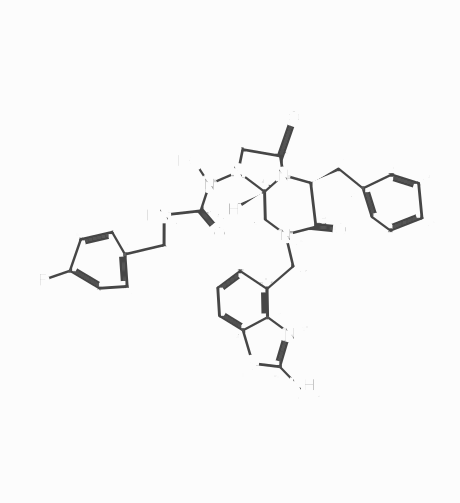 CN(C(=O)NCc1ccc(F)cc1)N1CC(=O)N2[C@@H](Cc3ccccc3)C(=O)N(Cc3cccc4sc(N)nc34)C[C@@H]21